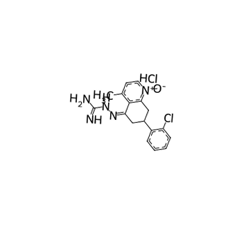 Cc1cc[n+]([O-])c2c1/C(=N\NC(=N)N)CC(c1ccccc1Cl)C2.Cl